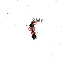 COC(=O)Cc1ccc(S(=O)(=O)CCOCc2ccccc2)cc1